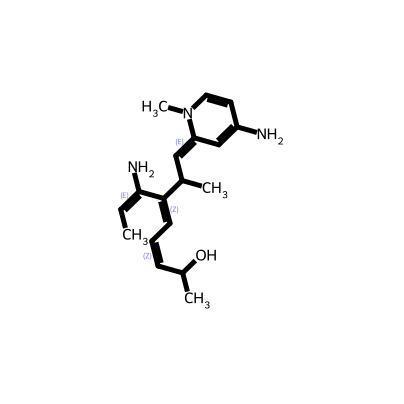 C\C=C(N)/C(=C\C=C/C(C)O)C(C)/C=C1\C=C(N)C=CN1C